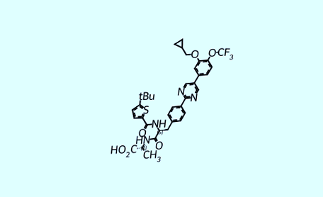 C[C@@H](NC(=O)[C@H](Cc1ccc(-c2ncc(-c3ccc(OC(F)(F)F)c(OCC4CC4)c3)cn2)cc1)NC(=O)c1ccc(C(C)(C)C)s1)C(=O)O